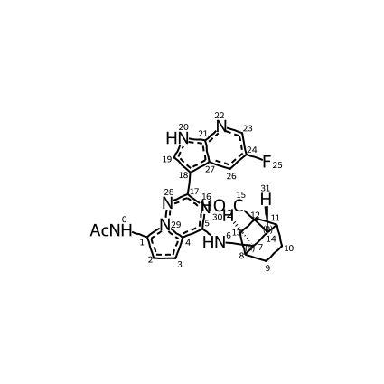 CC(=O)Nc1ccc2c(N[C@@H]3C4CCC(CC4)[C@H]3C(=O)O)nc(-c3c[nH]c4ncc(F)cc34)nn12